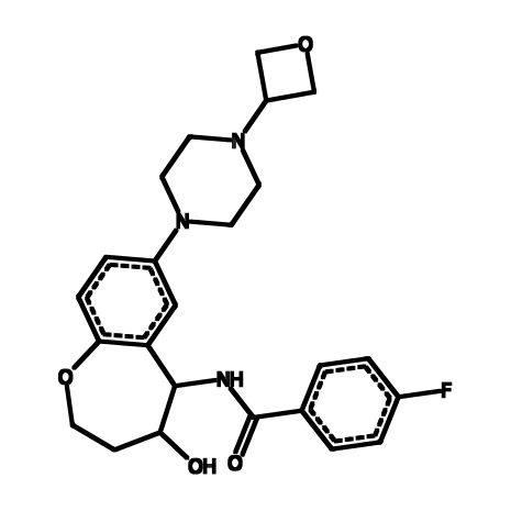 O=C(NC1c2cc(N3CCN(C4COC4)CC3)ccc2OCCC1O)c1ccc(F)cc1